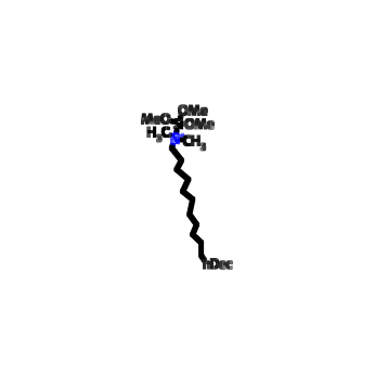 CCCCCCCCCCCCCCCCCCCCC[N+](C)(C)[Si](OC)(OC)OC